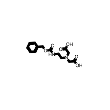 O=C(O)CN(CCNC(=O)OCc1ccccc1)CC(=O)O